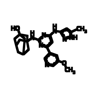 COc1cncc(-c2cc(Nc3cc(C)[nH]n3)nc(NC34CC5CC(CC(O)(C5)C3)C4)n2)c1